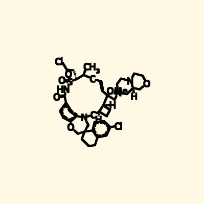 CO[C@@]1(CN2CCN3CCOC[C@@H]3C2)/C=C/C[C@H](C)[C@@H](CCCl)S(=O)(=O)NC(=O)c2ccc3c(c2)N(C[C@@H]2CC[C@H]21)C[C@@]1(CCCc2cc(Cl)ccc21)CO3